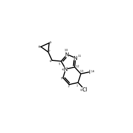 ClC1C=Cn2c(CC3CC3)nnc2C1I